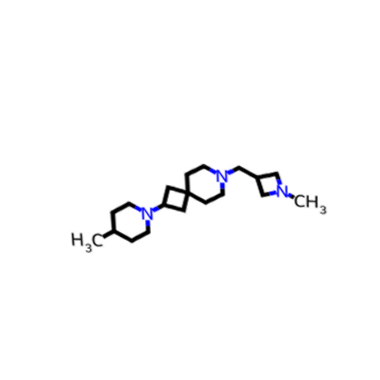 CC1CCN(C2CC3(CCN(CC4CN(C)C4)CC3)C2)CC1